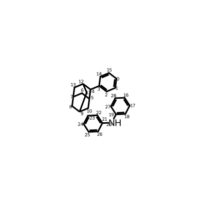 c1ccc(C2C3CC4CC(C3)CC2C4)cc1.c1ccc(Nc2ccccc2)cc1